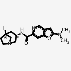 CN(C)c1cc2cnc(C(=O)N[C@@H]3C[C@H]4CCN(C4)C3)cc2o1